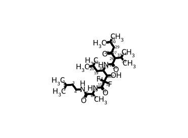 CC(C)CCNC(=O)C(C)NC(=O)C(F)(F)C(O)C(CC(C)C)NC(=O)C(C(=O)CC(C)C)C(C)C